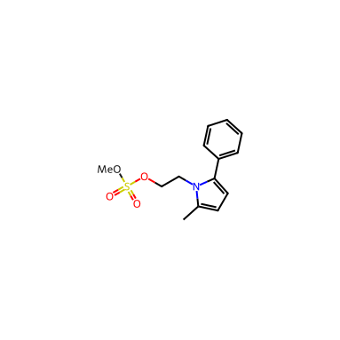 COS(=O)(=O)OCCn1c(C)ccc1-c1ccccc1